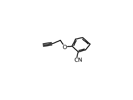 C#CCOc1ccccc1C#N